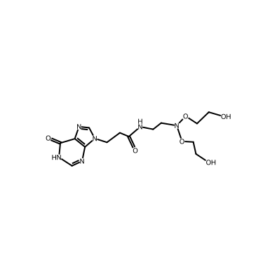 O=C(CCn1cnc2c(=O)[nH]cnc21)NCCN(OCCO)OCCO